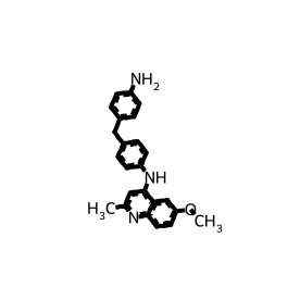 COc1ccc2nc(C)cc(Nc3ccc(Cc4ccc(N)cc4)cc3)c2c1